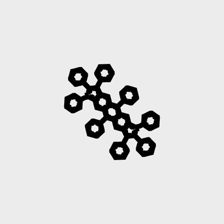 c1ccc(-c2c3cc4c(-c5ccccc5)c(-c5ccccc5)n(-c5ccccc5)c4cc3c(-c3ccccc3)c3cc4c(-c5ccccc5)c(-c5ccccc5)n(-c5ccccc5)c4cc23)cc1